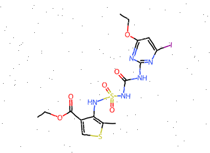 CCOC(=O)c1csc(C)c1NS(=O)(=O)NC(=O)Nc1nc(I)cc(OCC)n1